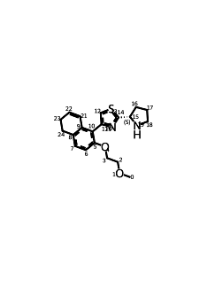 COCCOc1ccc2c(c1-c1csc([C@@H]3CCCN3)n1)C=CCC2